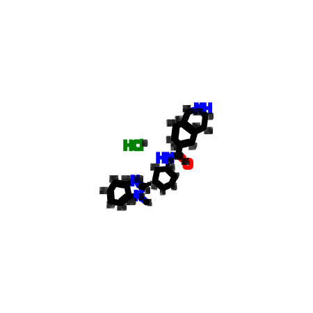 Cl.Cn1c([C@H]2CCC[C@@H](NC(=O)c3ccc4c(c3)CCNC4)C2)nc2ccccc21